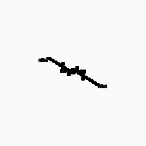 CCCCCCCCC=CCCCCCCCC(=O)OCC(O)CNc1ccc(NCC(O)COC(=O)CCCCCCC/C=C\CCCCCCCC)cc1